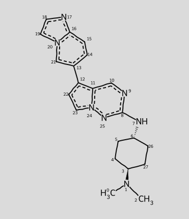 CN(C)[C@H]1CC[C@H](Nc2ncc3c(-c4ccc5nccn5c4)ccn3n2)CC1